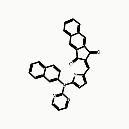 O=C1C(=Cc2ccc(N(c3ccc4ccccc4c3)c3ncccn3)s2)C(=O)c2cc3ccccc3cc21